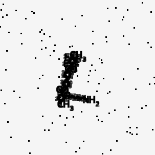 Cc1ccc(C(=O)Oc2ccc(-c3ccc(OC(=O)c4c(F)c(F)c(C)c(F)c4F)cc3)cc2)c(OCCCCCCN)c1